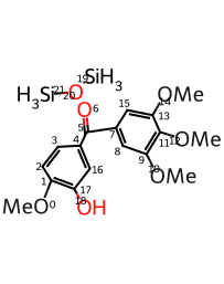 COc1ccc(C(=O)c2cc(OC)c(OC)c(OC)c2)cc1O.[SiH3]O[SiH3]